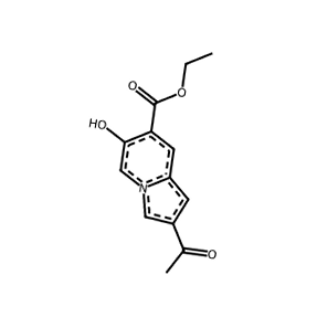 CCOC(=O)c1cc2cc(C(C)=O)cn2cc1O